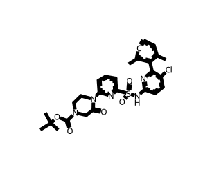 Cc1cccc(C)c1-c1nc(NS(=O)(=O)c2cccc(N3CCN(C(=O)OC(C)(C)C)CC3=O)n2)ccc1Cl